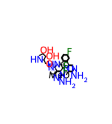 COc1nc(-c2cc(F)ccc2[C@@H]2N/C(=N\OCC3NCC(O)C3O)c3c(C)nc(N)nc3C2(F)F)cnc1N